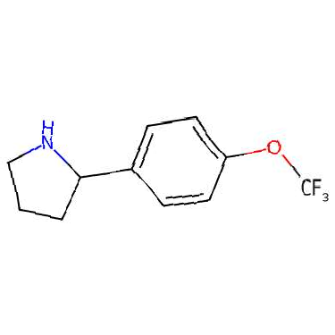 FC(F)(F)Oc1ccc(C2CCCN2)cc1